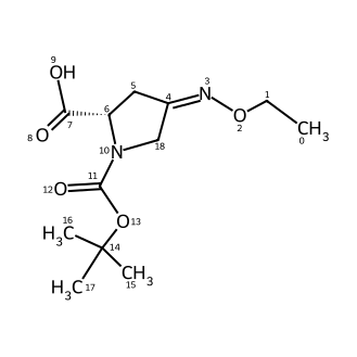 CCON=C1C[C@@H](C(=O)O)N(C(=O)OC(C)(C)C)C1